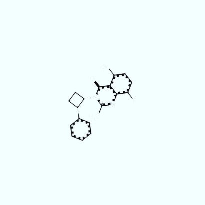 Cc1nc2c(F)ccc(Br)c2c(=O)n1[C@H]1CC[C@@H]1c1ccccc1